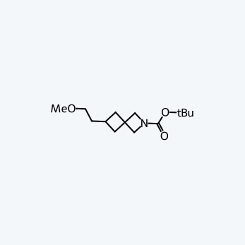 COCCC1CC2(C1)CN(C(=O)OC(C)(C)C)C2